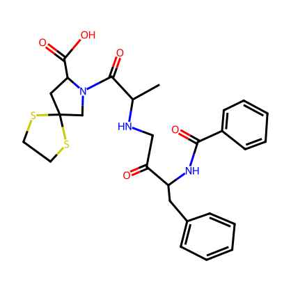 CC(NCC(=O)C(Cc1ccccc1)NC(=O)c1ccccc1)C(=O)N1CC2(CC1C(=O)O)SCCS2